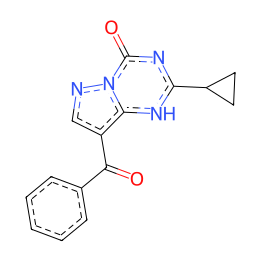 O=C(c1ccccc1)c1cnn2c(=O)nc(C3CC3)[nH]c12